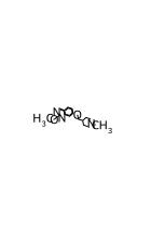 COc1ncc2ccc(OCC3CCN(C)CC3)cc2n1